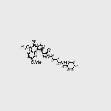 COc1ccc2c(c1)c1c(cnn1CC(=O)NCCCCNCC1CCCCC1)c(=O)n2C